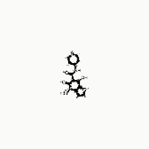 CCCCn1c(=O)c(C(=O)Nc2ccncc2)c(O)c2sccc21